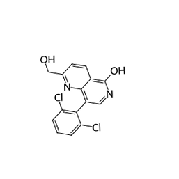 OCc1ccc2c(O)ncc(-c3c(Cl)cccc3Cl)c2n1